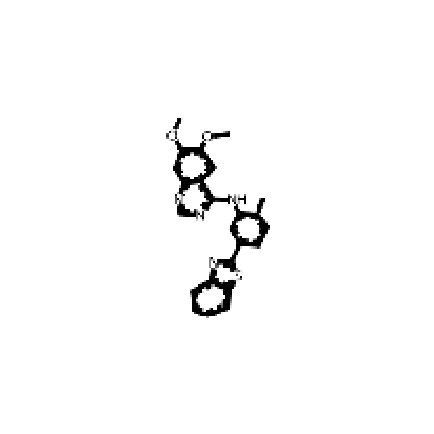 COc1cc2ncnc(Nc3cc(-c4nc5ccccc5s4)ccc3C)c2cc1OC